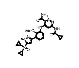 COc1c(Nc2cc(NC(=O)C3CC3)nnc2C(N)=O)cccc1-c1cc(P(=O)(C2CC2)C2CC2)n(C)n1